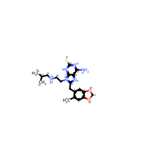 Cc1cc2c(cc1Cc1nc3c(N)nc(F)nc3n1CCNCC(C)C)OCO2